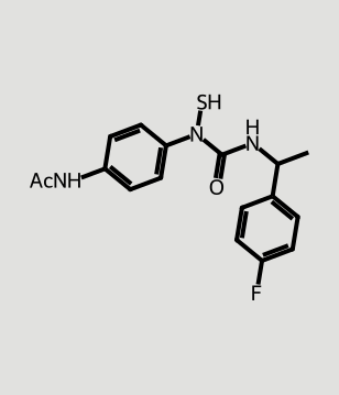 CC(=O)Nc1ccc(N(S)C(=O)NC(C)c2ccc(F)cc2)cc1